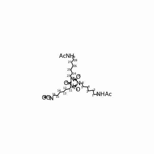 CC(=O)NCCCCCCn1c(=O)n(CCCCCCN=C=O)c(=O)n(CCCCCCNC(C)=O)c1=O